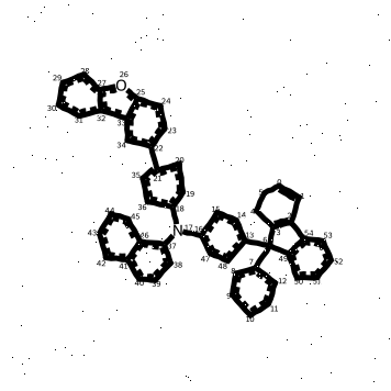 C1=CC2=C(CC1)C(c1ccccc1)(c1ccc(N(c3ccc(-c4ccc5oc6ccccc6c5c4)cc3)c3cccc4ccccc34)cc1)c1ccccc12